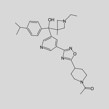 CCN1CC(C)(C(O)(c2ccc(C(C)C)cc2)c2cncc(-c3noc(C4CCN(C(C)=O)CC4)n3)c2)C1